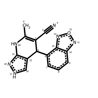 CC1=C(C#N)C(c2cccc3nonc23)c2c[nH]nc2N1